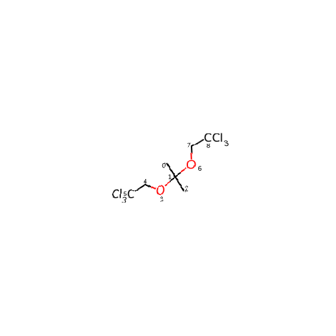 CC(C)(OCC(Cl)(Cl)Cl)OCC(Cl)(Cl)Cl